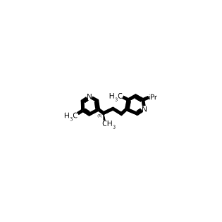 Cc1cncc([C@H](C)CCc2cnc(C(C)C)cc2C)c1